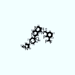 COC1(c2cc3c(N[C@H](C)c4cccc(C(F)F)c4F)ccnc3cn2)CCN(c2cnn(C)c2)CC1